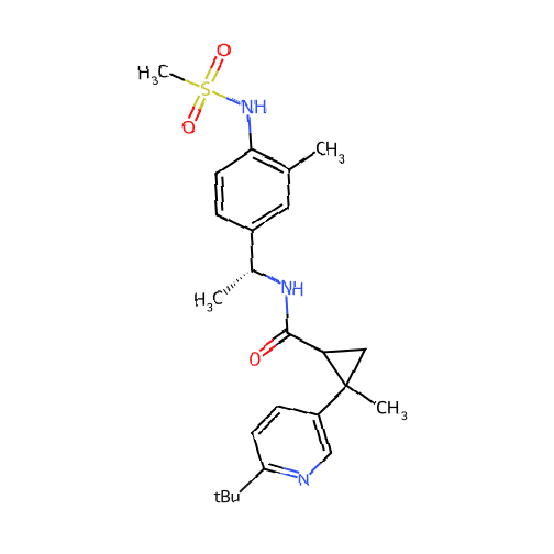 Cc1cc([C@@H](C)NC(=O)C2CC2(C)c2ccc(C(C)(C)C)nc2)ccc1NS(C)(=O)=O